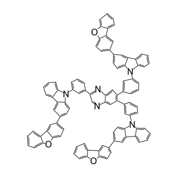 c1cc(-c2cnc3cc(-c4cccc(-n5c6ccccc6c6cc(-c7ccc8oc9ccccc9c8c7)ccc65)c4)c(-c4cccc(-n5c6ccccc6c6cc(-c7ccc8oc9ccccc9c8c7)ccc65)c4)cc3n2)cc(-n2c3ccccc3c3cc(-c4ccc5oc6ccccc6c5c4)ccc32)c1